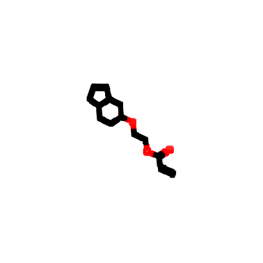 C=CC(=O)OCCOC1CCC2CC=CC2C1